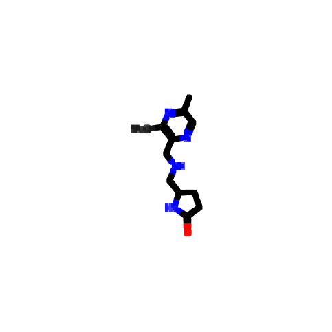 COc1nc(C)cnc1CNCC1CCC(=O)N1